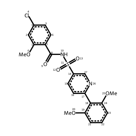 COc1cc(Cl)ccc1C(=O)NS(=O)(=O)c1ccc(-c2c(OC)cccc2OC)nc1